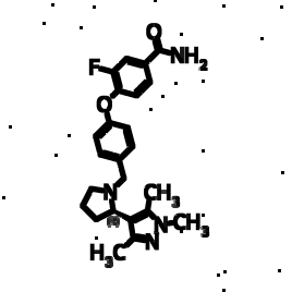 Cc1nn(C)c(C)c1[C@H]1CCCN1Cc1ccc(Oc2ccc(C(N)=O)cc2F)cc1